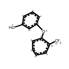 Oc1cccc(Oc2ccccc2C(F)(F)F)c1